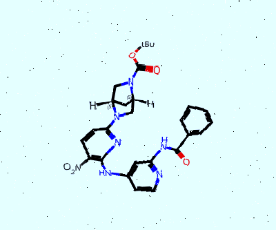 CC(C)(C)OC(=O)N1C[C@@H]2C[C@H]1CN2c1ccc([N+](=O)[O-])c(Nc2ccnc(NC(=O)c3ccccc3)c2)n1